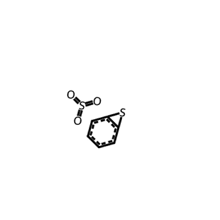 O=S(=O)=O.c1ccc2c(c1)S2